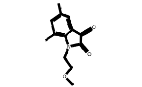 COCCN1C(=O)C(=O)c2cc(C)cc(C)c21